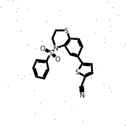 N#Cc1ccc(-c2ccc3c(c2)N(S(=O)(=O)c2ccccc2)CCS3)s1